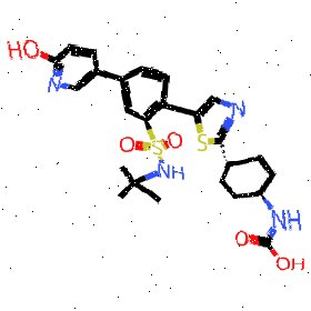 CC(C)(C)NS(=O)(=O)c1cc(-c2ccc(O)nc2)ccc1-c1cnc([C@H]2CC[C@H](NC(=O)O)CC2)s1